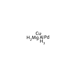 [AlH3].[Cu].[MgH2].[Pd]